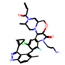 C=CC(=O)N1CC2COc3c(c4cc(Cl)c(-c5c(C)ccc6[nH]nc(C7CC7)c56)c(F)c4n(CCN)c3=O)N2CC1C